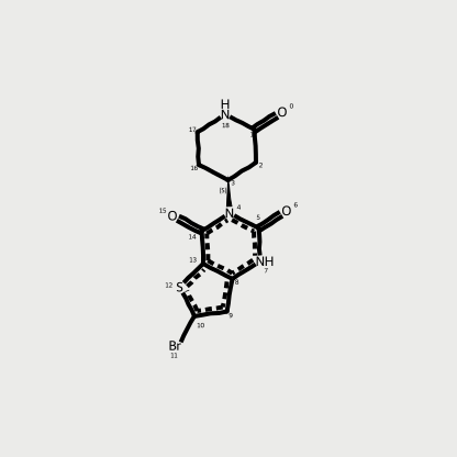 O=C1C[C@@H](n2c(=O)[nH]c3cc(Br)sc3c2=O)CCN1